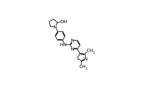 Cc1nc(C)c(-c2ccnc(Nc3ccc(N4CCCC4O)cc3)n2)s1